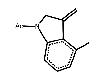 C=C1CN(C(C)=O)c2cccc(C)c21